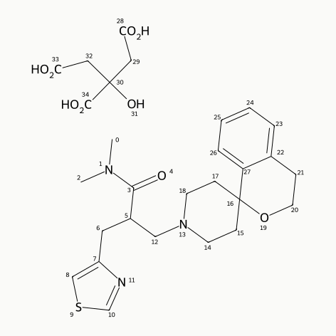 CN(C)C(=O)C(Cc1cscn1)CN1CCC2(CC1)OCCc1ccccc12.O=C(O)CC(O)(CC(=O)O)C(=O)O